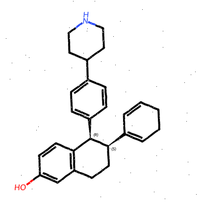 Oc1ccc2c(c1)CC[C@H](C1=CCCC=C1)[C@@H]2c1ccc(C2CCNCC2)cc1